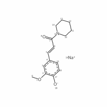 COc1cc(C=CC(=O)N2CCCCC2)ccc1[O-].[Na+]